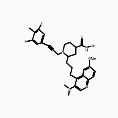 COc1ccc2ncc(N(C)C)c(CCCC3CC(C(=O)NO)CCN3CC#Cc3cc(F)c(F)c(F)c3)c2c1